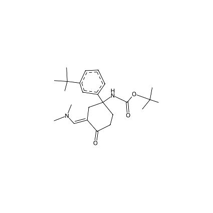 CN(C)C=C1CC(NC(=O)OC(C)(C)C)(c2cccc(C(C)(C)C)c2)CCC1=O